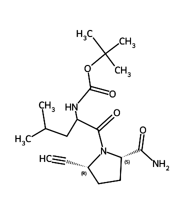 C#C[C@H]1CC[C@@H](C(N)=O)N1C(=O)C(CC(C)C)NC(=O)OC(C)(C)C